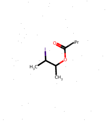 CC(C)C(=O)OC(C)C(C)I